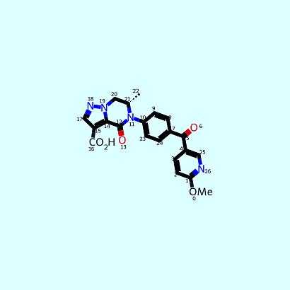 COc1ccc(C(=O)c2ccc(N3C(=O)c4c(C(=O)O)cnn4C[C@@H]3C)cc2)cn1